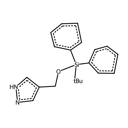 CC(C)(C)[Si](OCc1cn[nH]c1)(c1ccccc1)c1ccccc1